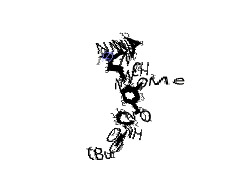 CN/C=C1/C=C(c2nc3cc(C(=O)N4CCC[C@@H](NC(=O)OC(C)(C)C)C4)cc(OC)c3n2C)N(CC2CC2)C1=N